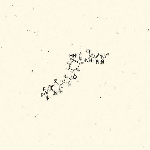 Cn1cc(C(=O)Nc2c[nH]c3ccc(O[C@H]4C[C@H](c5ccc(C(F)(F)F)nc5)C4)cc23)nn1